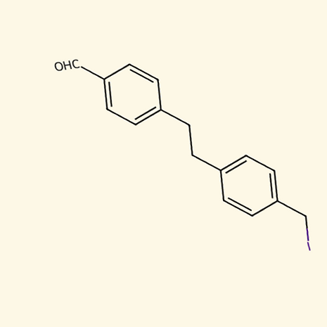 O=Cc1ccc(CCc2ccc(CI)cc2)cc1